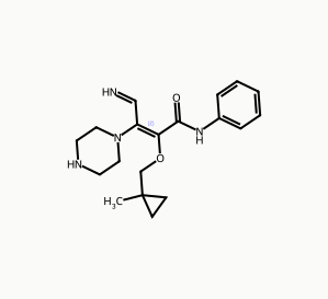 CC1(CO/C(C(=O)Nc2ccccc2)=C(/C=N)N2CCNCC2)CC1